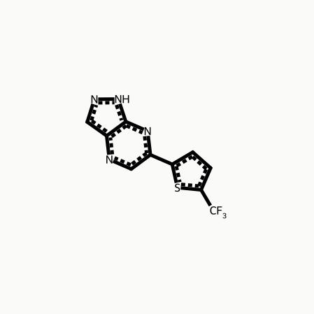 FC(F)(F)c1ccc(-c2cnc3cn[nH]c3n2)s1